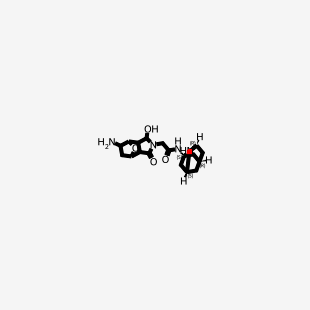 NC1CC2OC1C1C2C(=O)N(CC(=O)N[C@@]23C[C@@H]4C[C@@H](C[C@H](C4)N2)C3)C1O